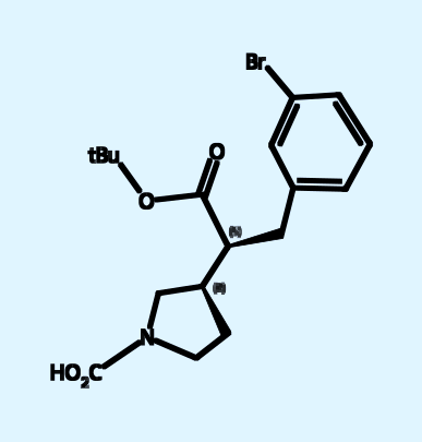 CC(C)(C)OC(=O)[C@@H](Cc1cccc(Br)c1)[C@H]1CCN(C(=O)O)C1